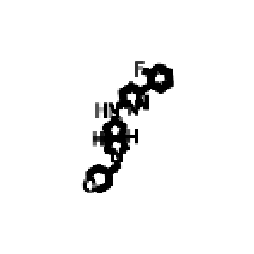 Fc1ccccc1-c1ccc(N[C@H]2C[C@@H]3CN(CC4CCOCC4)C[C@@H]3C2)nn1